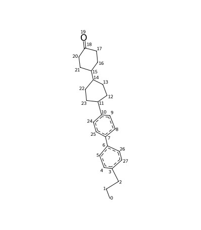 CCCc1ccc(-c2ccc(C3CCC(C4CCC(=O)CC4)CC3)cc2)cc1